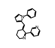 C(=C1/CCCN=C1c1cccnc1)/c1cccn1-c1ccccc1